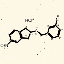 Cl.O=[N+]([O-])c1ccc2c(c1)CC(NCc1cccc(Cl)c1)C2